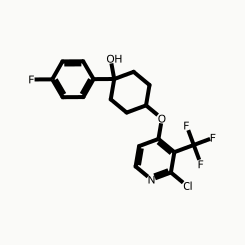 OC1(c2ccc(F)cc2)CCC(Oc2ccnc(Cl)c2C(F)(F)F)CC1